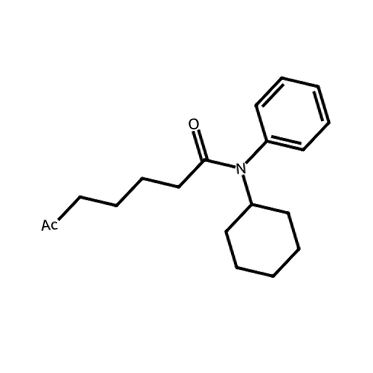 CC(=O)CCCCC(=O)N(c1ccccc1)C1CCCCC1